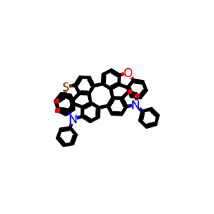 c1ccc(-n2c3ccccc3c3c4c(ccc32)-c2ccc3c(c2-c2c(ccc5sc6ccccc6c25)-c2ccc5oc6ccccc6c5c2-4)c2ccccc2n3-c2ccccc2)cc1